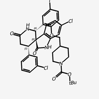 CC(C)(C)OC(=O)N1CCC(COc2ccc(I)cc2[C@H]2NC(=O)C[C@@H](c3cccc(Cl)c3)[C@]23C(=O)Nc2cc(Cl)ccc23)CC1